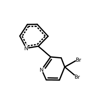 BrC1(Br)C=CN=C(c2ccccn2)C1